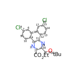 CCOC(=O)c1nc(-c2ccc(Cl)cc2)c(-c2ccc(Cl)cc2)nc1COC(C)(C)C